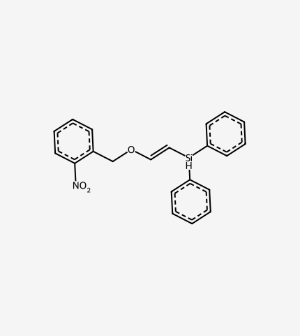 O=[N+]([O-])c1ccccc1COC=C[SiH](c1ccccc1)c1ccccc1